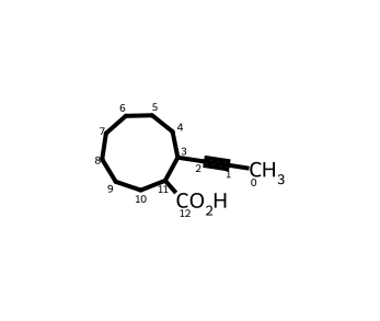 CC#CC1CCCCCCCC1C(=O)O